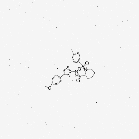 COc1ccc(-c2csc(NC(=O)C3CCCCN3S(=O)(=O)c3ccc(C)cc3)n2)cc1